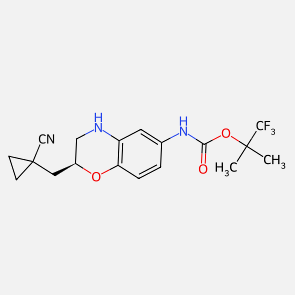 CC(C)(OC(=O)Nc1ccc2c(c1)NC[C@H](CC1(C#N)CC1)O2)C(F)(F)F